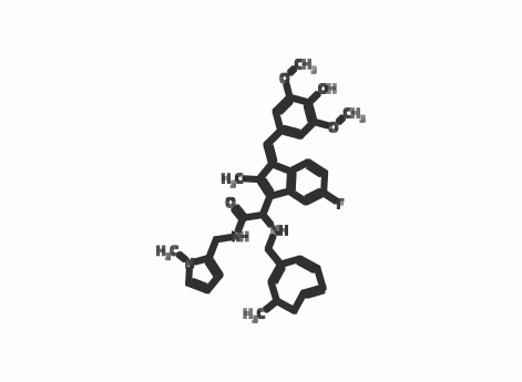 COc1cc(/C=C2/C(C)=C(C(NCC3=C/C(C)C/C=C/C=C\3)C(=O)NCc3cccn3C)c3cc(F)ccc32)cc(OC)c1O